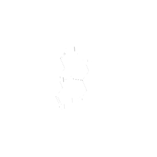 C=CCOCC=C.O=S(=O)(O)CC(O)CO